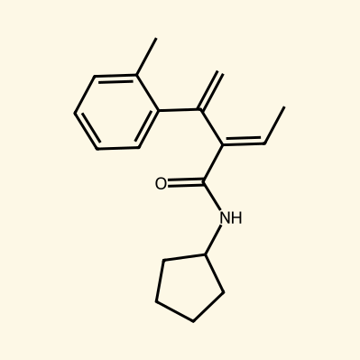 C=C(/C(=C\C)C(=O)NC1CCCC1)c1ccccc1C